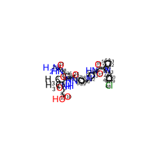 CC(C)[C@H](NC(=O)CCC(=O)O)C(=O)N[C@@H](CCCNC(N)=O)C(=O)Nc1ccc(C[n+]2ccc(NC(=O)C(=O)c3cn(Cc4ccc(Cl)cc4)c4ccccc34)cc2)cc1